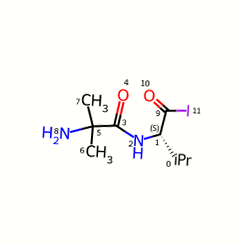 CC(C)[C@H](NC(=O)C(C)(C)N)C(=O)I